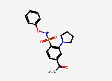 COC(=O)c1ccc(S(=O)(=O)NOc2ccccc2)c(N2CCCC2)c1